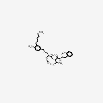 COCCCOc1cc(COC[C@H](N=[N+]=[N-])[C@@H](O)C[C@H](C(=O)N[C@H](CO)Cc2ccccc2)C(C)C)ccc1C